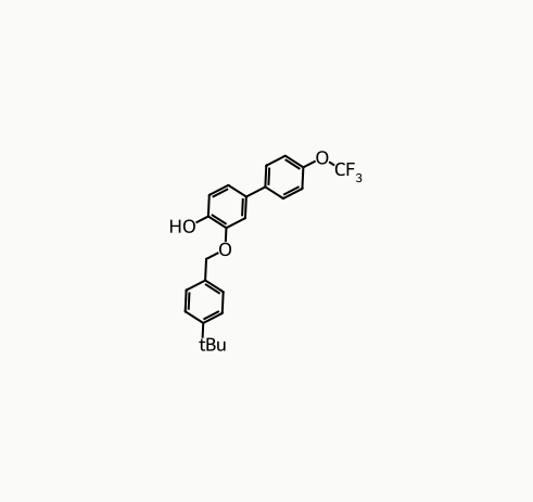 CC(C)(C)c1ccc(COc2cc(-c3ccc(OC(F)(F)F)cc3)ccc2O)cc1